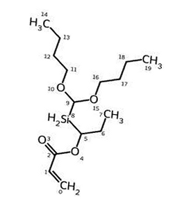 C=CC(=O)OC(CC)[SiH2]C(OCCCC)OCCCC